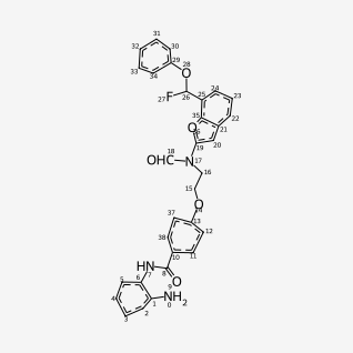 Nc1ccccc1NC(=O)c1ccc(OCCN(C=O)c2cc3cccc(C(F)Oc4ccccc4)c3o2)cc1